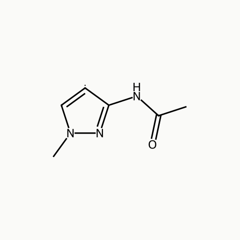 CC(=O)Nc1[c]cn(C)n1